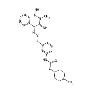 CN1CCC(OC(=O)Nc2cccc(CO/N=C(\C(=N)N(C)N=N)c3ccccc3)n2)CC1